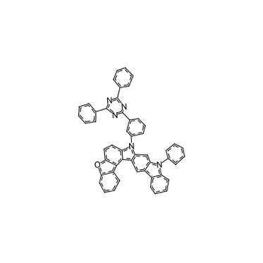 c1ccc(-c2nc(-c3ccccc3)nc(-c3cccc(-n4c5cc6c(cc5c5c7c(ccc54)oc4ccccc47)c4ccccc4n6-c4ccccc4)c3)n2)cc1